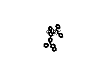 c1ccc(-c2nc(-c3cc(-c4ccc(N(c5ccccc5)c5ccc6ccccc6c5)cc4)cc4oc5ccccc5c34)nc3c2sc2ccccc23)cc1